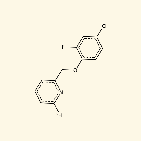 [2H]c1cccc(COc2ccc(Cl)cc2F)n1